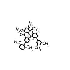 Cc1cc(C)cc(-c2ccc(N(C)c3c(C)cc(C)c(C(=O)c4cccc(-c5c(C)cccc5C)c4)c3C)cc2)c1